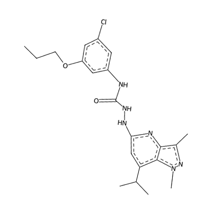 CCCOc1cc(Cl)cc(NC(=O)NNc2cc(C(C)C)c3c(n2)c(C)nn3C)c1